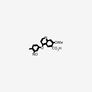 COc1cc2nccc(Oc3ccc(C)c(N=O)c3)c2cc1C(=O)O